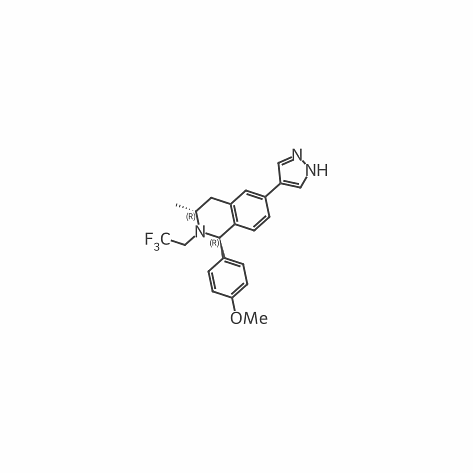 COc1ccc([C@@H]2c3ccc(-c4cn[nH]c4)cc3C[C@@H](C)N2CC(F)(F)F)cc1